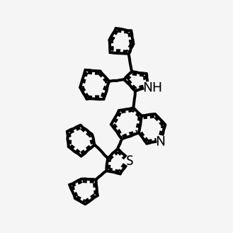 c1ccc(-c2c[nH]c(-c3ccc(-c4scc(-c5ccccc5)c4-c4ccccc4)c4cnccc34)c2-c2ccccc2)cc1